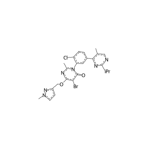 Cc1cnc(C(C)C)nc1-c1ccc(Cl)c(-n2c(C)nc(OCc3ccn(C)n3)c(Br)c2=O)c1